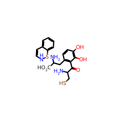 C1=Cc2ccccc2SN1.NC(Cc1ccc(O)c(O)c1C(=O)C(N)CS)C(=O)O